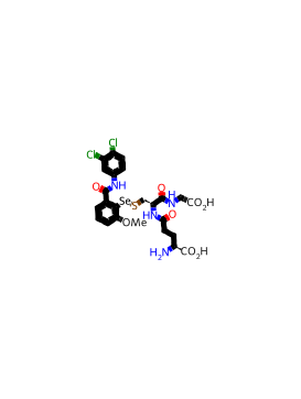 COc1cccc(C(=O)Nc2ccc(Cl)c(Cl)c2)c1[Se]SC[C@@H](NC(=O)CC[C@@H](N)C(=O)O)C(=O)NCC(=O)O